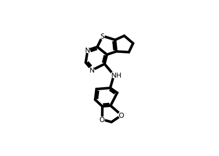 c1nc(Nc2ccc3c(c2)OCO3)c2c3c(sc2n1)CCC3